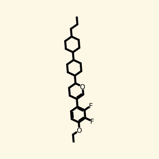 CCCC1CCC(C2CCC(C3CCC(c4ccc(OCC)c(F)c4F)=CO3)CC2)CC1